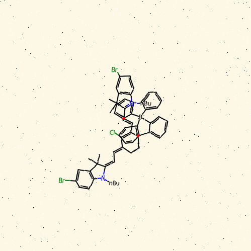 CCCCN1/C(=C/C=C2\CCC(c3ccccc3[B-](c3ccccc3)(c3ccccc3)c3ccccc3)C(/C=C/C3=[N+](CCCC)c4ccc(Br)cc4C3(C)C)=C2Cl)C(C)(C)c2cc(Br)ccc21